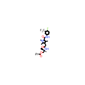 C#C[C@@](C)(COC(=O)C(C)C)NC(=O)Cc1c(C)c(C(=O)Nc2ccc(F)c(C(F)(F)F)c2)n(C)c1C